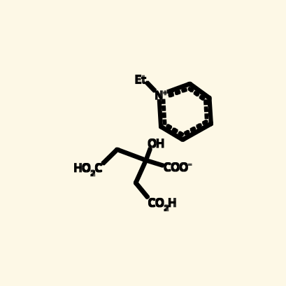 CC[n+]1ccccc1.O=C(O)CC(O)(CC(=O)O)C(=O)[O-]